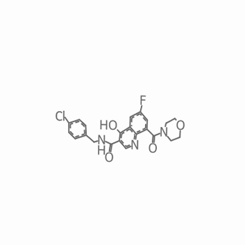 O=C(NCc1ccc(Cl)cc1)c1cnc2c(C(=O)N3CCOCC3)cc(F)cc2c1O